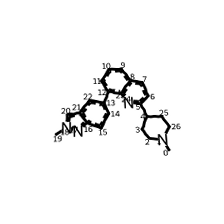 CN1CCC(c2ccc3cccc(-c4ccc5nn(C)cc5c4)c3n2)CC1